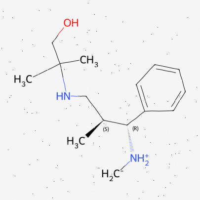 [CH2-][NH2+][C@@H](c1ccccc1)[C@@H](C)CNC(C)(C)CO